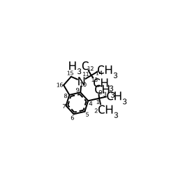 CC(C)(C)c1cccc2c1N(C(C)(C)C)CC2